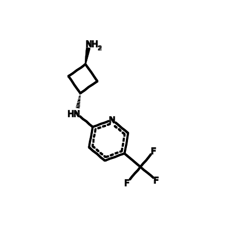 N[C@H]1C[C@H](Nc2ccc(C(F)(F)F)cn2)C1